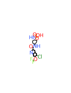 O=C(NC1CCC(NS(=O)(=O)O)CC1)c1cnc2cc(OC(F)F)c(Cl)cc2c1